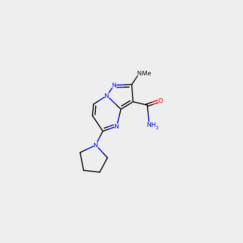 CNc1nn2ccc(N3CCCC3)nc2c1C(N)=O